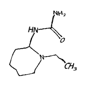 CCN1CCCCC1NC(N)=O